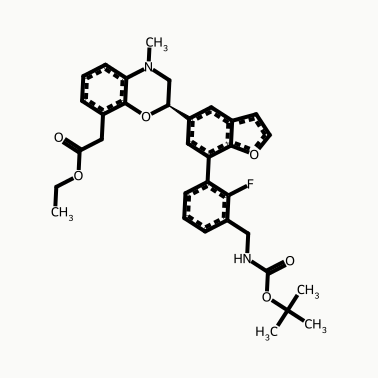 CCOC(=O)Cc1cccc2c1O[C@H](c1cc(-c3cccc(CNC(=O)OC(C)(C)C)c3F)c3occc3c1)CN2C